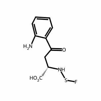 Nc1ccccc1C(=O)C[C@H](NSF)C(=O)O